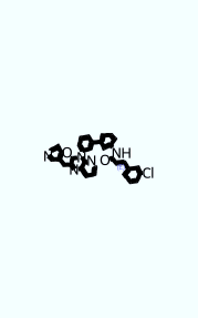 O=C(/C=C/c1cccc(Cl)c1)Nc1cccc(-c2cccc(-n3c(=O)c(Cc4cccnc4)nc4cccnc43)c2)c1